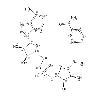 NC(=O)c1cccnc1.Nc1ncnc2c1ncn2[C@@H]1O[C@H](COP(=O)(O)OC2O[C@H](CO)[C@@H](O)[C@H]2O)[C@@H](O)[C@H]1O